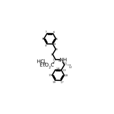 CCOC(=O)[C@H](CCc1ccccc1)N[C@H](C)c1ccccc1.Cl